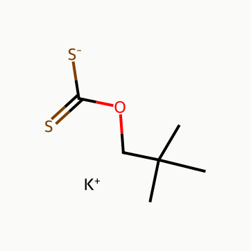 CC(C)(C)COC(=S)[S-].[K+]